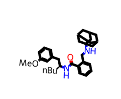 CCCC[C@@H](Cc1cccc(OC)c1)NC(=O)c1ccccc1CNC12CC3CC(CC(C3)C1)C2